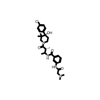 CC(NC(=O)c1cccc(NC(=O)CN(C)C)c1)[C@@H](C)C(=O)N1CC[C@](O)(c2ccc(Cl)cc2)C(C)(C)C1